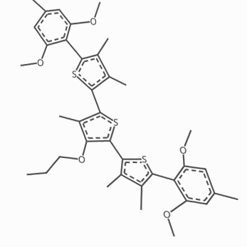 CCCOc1c(-c2sc(-c3c(OC)cc(C)cc3OC)c(C)c2C)sc(-c2sc(-c3c(OC)cc(C)cc3OC)c(C)c2C)c1C